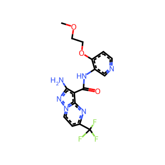 COCCOc1ccncc1NC(=O)c1c(N)nn2ccc(C(F)(F)F)nc12